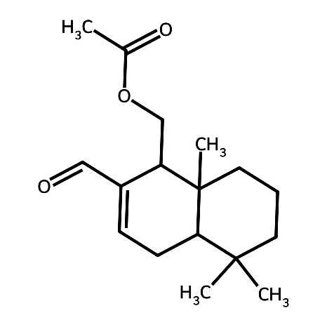 CC(=O)OCC1C(C=O)=CCC2C(C)(C)CCCC12C